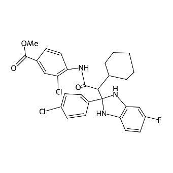 COC(=O)c1ccc(NC(=O)C(C2CCCCC2)C2(c3ccc(Cl)cc3)Nc3ccc(F)cc3N2)c(Cl)c1